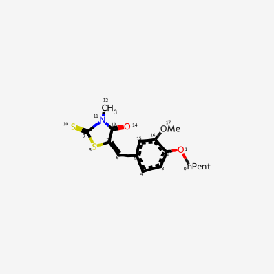 CCCCCOc1ccc(C=C2SC(=S)N(C)C2=O)cc1OC